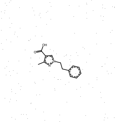 Cc1nn(CCc2ccccc2)cc1C(=O)O